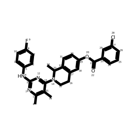 Cc1nc(Nc2ccc(F)cc2)nc(N2CCc3cc(OC(=O)c4cccc(Cl)c4)ccc3C2C)c1C